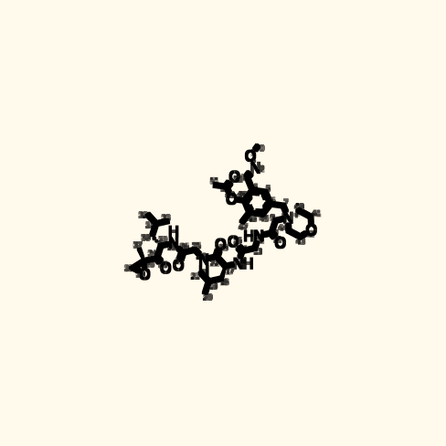 CO/N=C/c1cc(C[N+]2(CC(=O)NCC(=O)N[C@@H](CC(C)C)C(=O)NCC(=O)N[C@@H](CC(C)C)C(=O)[C@@]3(C)CO3)CCOCC2)cc(C)c1OC(C)=O